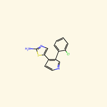 Nc1ncc(-c2ccncc2-c2ccccc2Cl)s1